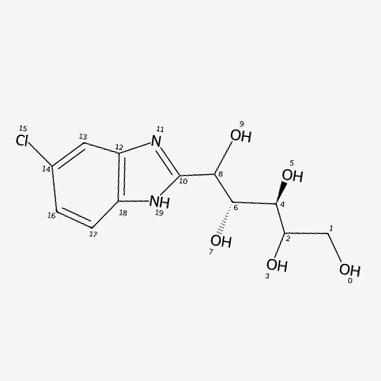 OCC(O)[C@H](O)[C@H](O)C(O)c1nc2cc(Cl)ccc2[nH]1